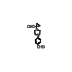 O=Cc1ccc(N2CCN(C3(C=O)CC3)CC2)cc1